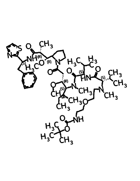 CC[C@H](C)[C@@H]([C@@H](CC(=O)N1CCCC1[C@H](OC)[C@@H](C)C(=O)N[C@@H](Cc1ccccc1)c1nccs1)OC)N(C)C(=O)[C@@H](NC(=O)[C@H](C(C)C)N(C)CCOCCNC(=O)OC(C)(C)C)C(C)C